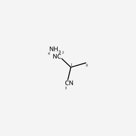 CC(C#N)C#N.N